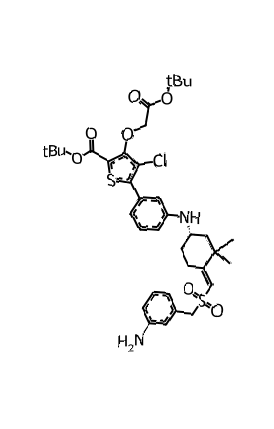 CC(C)(C)OC(=O)COc1c(C(=O)OC(C)(C)C)sc(-c2cccc(N[C@H]3CC/C(=C\S(=O)(=O)Cc4cccc(N)c4)C(C)(C)C3)c2)c1Cl